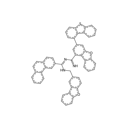 N=C(/N=C(\NCc1ccc2oc3ccccc3c2c1)c1ccc2ccc3ccccc3c2c1)c1cc(-c2cccc3sc4ccccc4c23)cc2oc3ccccc3c12